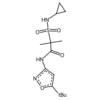 CC(C)(C)c1cc(NC(=O)C(C)(C)S(=O)(=O)NC2CC2)no1